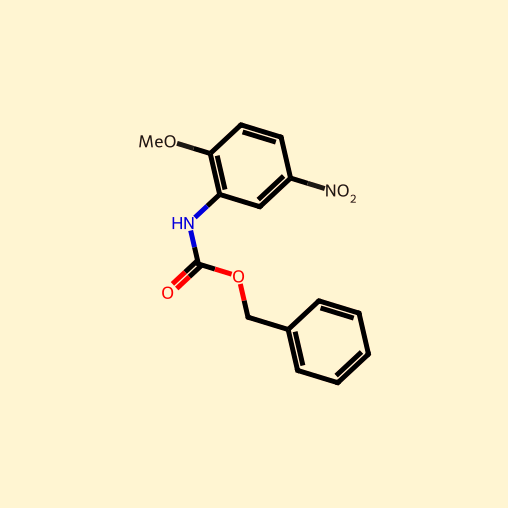 COc1ccc([N+](=O)[O-])cc1NC(=O)OCc1ccccc1